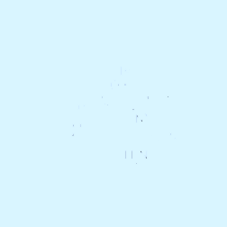 CCOC(=O)C(=O)C[n+]1ccccc1N.[Br-]